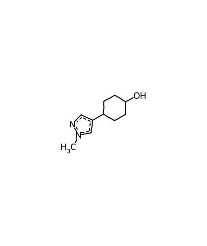 Cn1cc(C2CCC(O)CC2)cn1